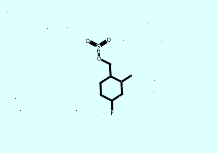 CC1CC(F)CCC1[CH]O[SH](=O)=O